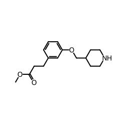 COC(=O)CCc1cccc(OCC2CCNCC2)c1